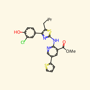 COC(=O)c1cc(-c2cccs2)cnc1Nc1nc(-c2ccc(O)c(Cl)c2)c(CC(C)C)s1